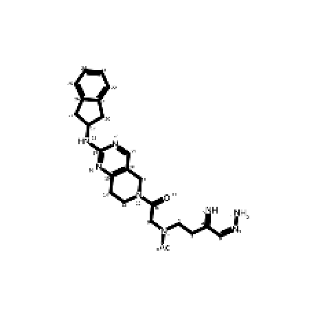 CC(=O)N(CCC(=N)/C=N\N)CC(=O)N1CCc2nc(NC3Cc4ccccc4C3)ncc2C1